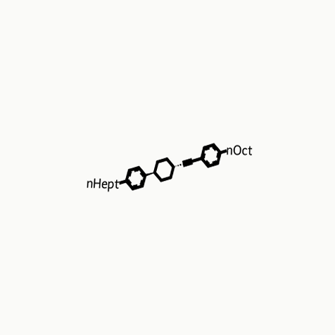 CCCCCCCCc1ccc(C#C[C@H]2CC[C@H](c3ccc(CCCCCCC)cc3)CC2)cc1